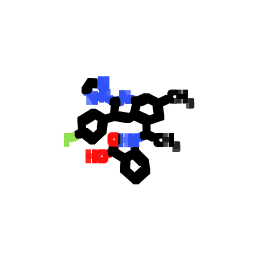 Cc1cc(C(C)Nc2ccccc2C(=O)O)c2cc(-c3ccc(F)cc3)c(-n3nccn3)nc2c1